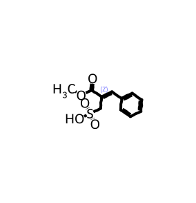 COC(=O)/C(=C/c1ccccc1)CS(=O)(=O)O